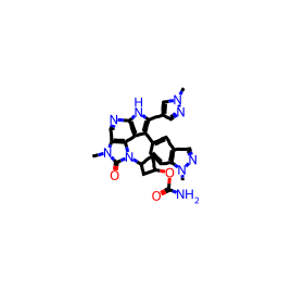 Cn1cc(-c2[nH]c3ncc4c(c3c2-c2ccc3c(cnn3C)c2)n(C2CC(OC(N)=O)C2)c(=O)n4C)cn1